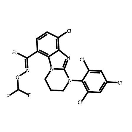 CCC(=NOC(F)F)c1ccc(Cl)c2nc3n(c12)CCCN3c1c(Cl)cc(Cl)cc1Cl